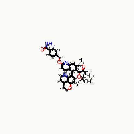 CC(=O)[C@@H](OC(C)(C)C)c1c(C)cc2nc(OCc3ccc(C(N)=O)cc3)ccc2c1-c1ccc2c3c(ccnc13)CCO2